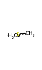 [CH2]c1ccc(CCCCC)s1